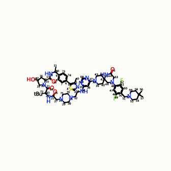 Cc1ncsc1-c1ccc([C@H](C)NC(=O)[C@@H]2C[C@@H](O)CN2C(=O)[C@@H](NC(=O)CN2CCN(CCNc3cc(N4CCC5(CC4)CN(c4cc(F)c(CN6CCC(C)(C)CC6)cc4F)CC(=O)N5)ncn3)CC2)C(C)(C)C)cc1